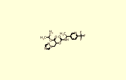 CC(C)OC(=O)C(Cn1cncn1)OC(=O)N[C@@H](C)c1ccc(C(F)(F)F)nc1